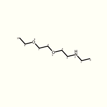 CCNCCOCCOCC